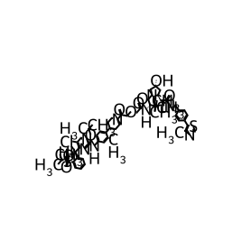 Cc1cc(Nc2ncc(Cl)c(Nc3ccccc3S(=O)(=O)C(C)C)n2)c(OC(C)C)cc1C1CCN(C(=O)COCC(=O)N[C@H](C(=O)N2C[C@H](O)C[C@H]2CC(=O)NCc2ccc(-c3scnc3C)cc2)C(C)(C)C)CC1